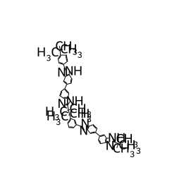 CC(C)(C)c1ccc(-c2nc3cc(-c4ccc5nc(C(C)(C)C(C)(C)c6cccc(-c7nc8cc(-c9ccc%10nc(C(C)(C)C)[nH]c%10c9)ccc8[nH]7)c6)[nH]c5c4)ccc3[nH]2)cc1